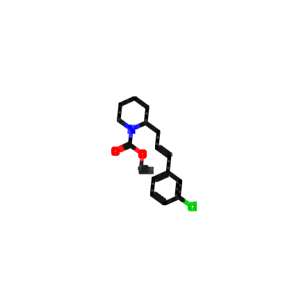 CC(C)(C)OC(=O)N1CCCCC1CC=Cc1cccc(Cl)c1